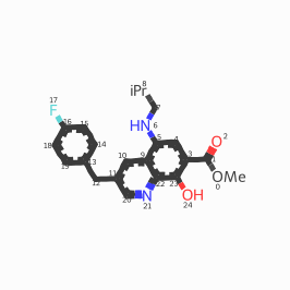 COC(=O)c1cc(NCC(C)C)c2cc(Cc3ccc(F)cc3)cnc2c1O